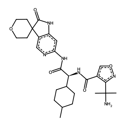 CC1CCC([C@H](NC(=O)c2conc2C(C)(C)N)C(=O)Nc2cc3c(cn2)C2(CCOCC2)C(=O)N3)CC1